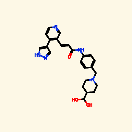 O=C(/C=C/c1cnccc1-c1cn[nH]c1)Nc1ccc(CN2CCC(C(O)O)CC2)cc1